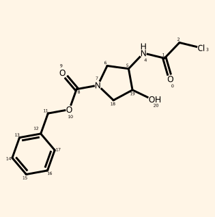 O=C(CCl)NC1CN(C(=O)OCc2ccccc2)CC1O